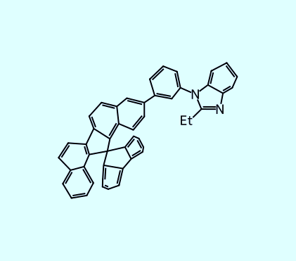 CCc1nc2ccccc2n1-c1cccc(-c2ccc3c4c(ccc3c2)-c2ccc3ccccc3c2C42c3ccccc3-c3ccccc32)c1